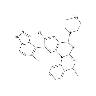 Cc1ccc2[nH]ncc2c1-c1cc2c(cc1Cl)c(N1CCNCC1)nc(=O)n2-c1ccccc1C(C)C